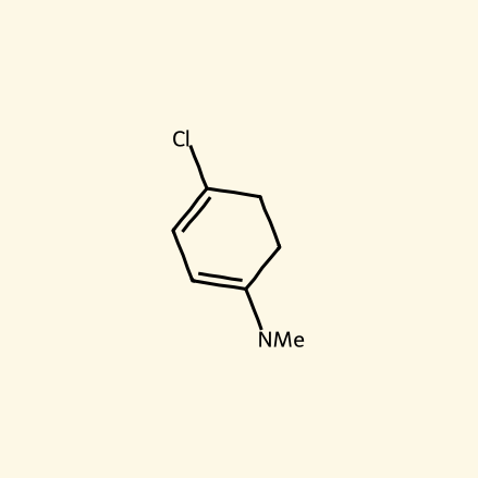 CNC1=CC=C(Cl)CC1